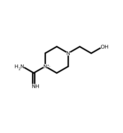 N=C(N)[N+]1CCN(CCO)CC1